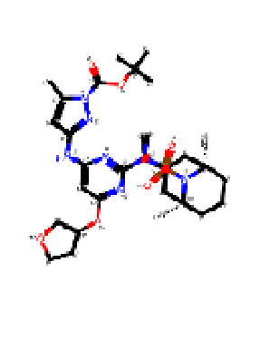 CCS(=O)(=O)N1[C@@H]2CCC[C@H]1CC(N(C)c1nc(Nc3cc(C)n(C(=O)OC(C)(C)C)n3)cc(OC3CCOC3)n1)C2